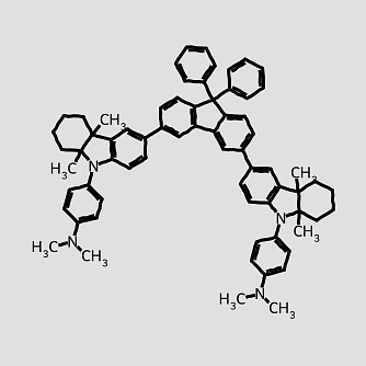 CN(C)c1ccc(N2c3ccc(-c4ccc5c(c4)-c4cc(-c6ccc7c(c6)C6(C)CCCCC6(C)N7c6ccc(N(C)C)cc6)ccc4C5(c4ccccc4)c4ccccc4)cc3C3(C)CCCCC23C)cc1